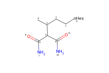 CCCCCCCCC(C)C(C(N)=O)C(N)=O